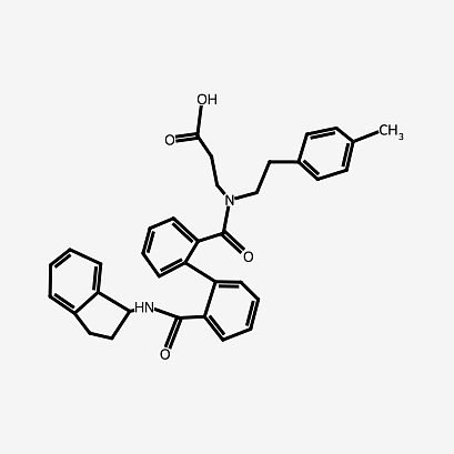 Cc1ccc(CCN(CCC(=O)O)C(=O)c2ccccc2-c2ccccc2C(=O)NC2CCc3ccccc32)cc1